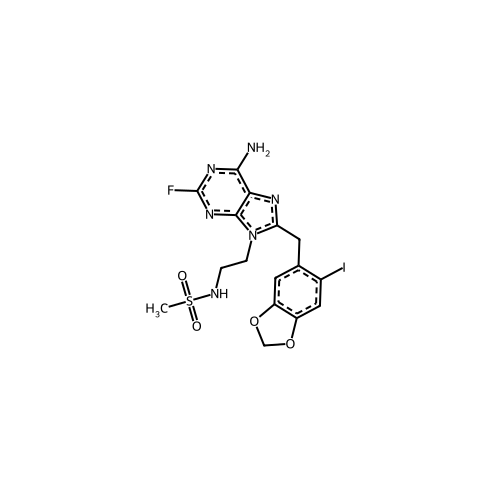 CS(=O)(=O)NCCn1c(Cc2cc3c(cc2I)OCO3)nc2c(N)nc(F)nc21